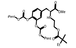 CCCC(C)OC(=O)Oc1ccc(C[C@H](NCCOC(=O)C(C)(C)CC)C(=O)OC)cc1OC(=O)OC(C)CCC